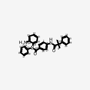 CC(C)(C(=O)Nc1ccc(C(=O)N(c2ccccc2)c2ccccc2N)cc1)c1ccccc1